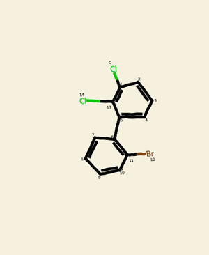 Clc1cccc(-c2ccc[c]c2Br)c1Cl